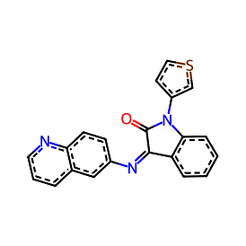 O=C1/C(=N\c2ccc3ncccc3c2)c2ccccc2N1c1ccsc1